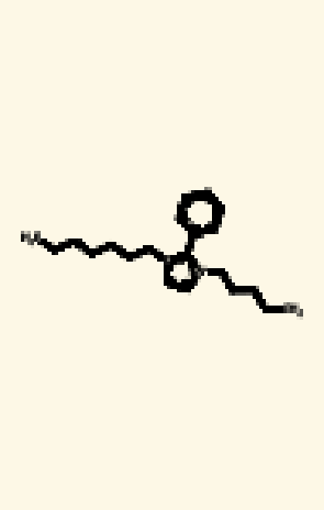 CCCCCCCn1cc[n+](CCCCC)c1-c1ccccc1